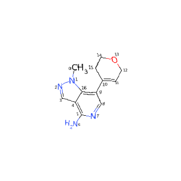 Cn1ncc2c(N)ncc(C3=CCOCC3)c21